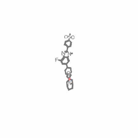 Cn1c(-c2ccc(S(C)(=O)=O)cc2)nc2c(F)cc(C3CCN(C4CC5CCC(C4)N5C4COC4)CC3)cc21